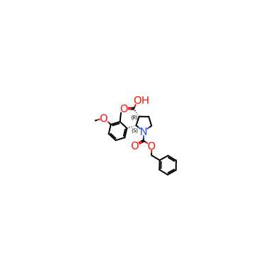 COc1cccc([C@@H]2[C@H](C(=O)O)CCN2C(=O)OCc2ccccc2)c1C